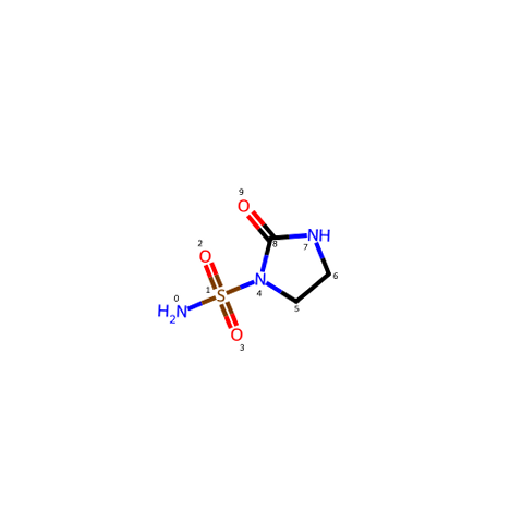 NS(=O)(=O)N1CCNC1=O